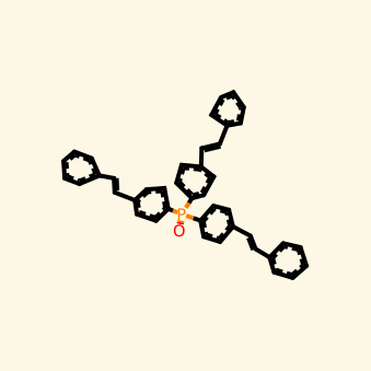 O=P(c1ccc(C=Cc2ccccc2)cc1)(c1ccc(C=Cc2ccccc2)cc1)c1ccc(C=Cc2ccccc2)cc1